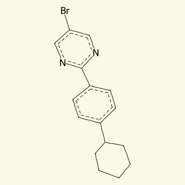 Brc1cnc(-c2ccc(C3CCCCC3)cc2)nc1